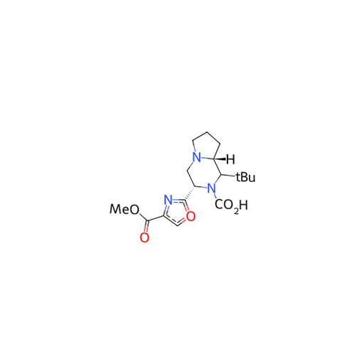 COC(=O)c1coc([C@@H]2CN3CCC[C@@H]3C(C(C)(C)C)N2C(=O)O)n1